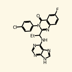 CCC(Nc1ncnc2[nH]cnc12)c1nc2ccc(F)cc2c(=O)n1-c1ccc(Cl)cc1